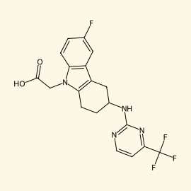 O=C(O)Cn1c2c(c3cc(F)ccc31)CC(Nc1nccc(C(F)(F)F)n1)CC2